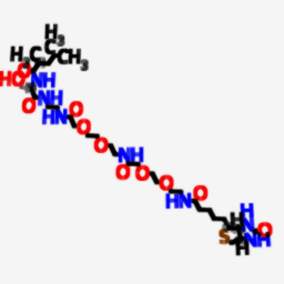 CC(C)C[C@H](C)C(=O)N[C@@H](CO)C(=O)NCCNC(=O)COCCOCCNC(=O)COCCOCCNC(=O)CCCC[C@@H]1SC[C@@H]2NC(=O)N[C@@H]21